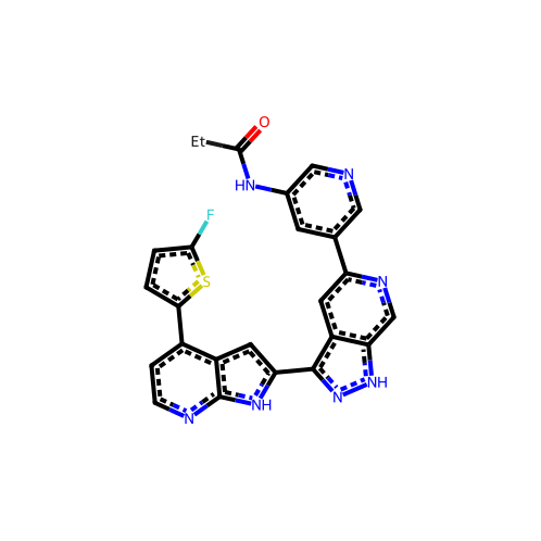 CCC(=O)Nc1cncc(-c2cc3c(-c4cc5c(-c6ccc(F)s6)ccnc5[nH]4)n[nH]c3cn2)c1